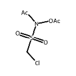 CC(=O)ON(C(C)=O)S(=O)(=O)CCl